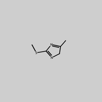 CSC1=NCC(C)=N1